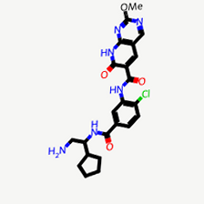 COc1ncc2cc(C(=O)Nc3cc(C(=O)NC(CN)C4CCCC4)ccc3Cl)c(=O)[nH]c2n1